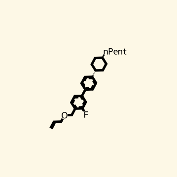 C=CCOCc1ccc(-c2ccc([C@H]3CC[C@H](CCCCC)CC3)cc2)cc1F